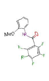 COc1ccccc1PC(=O)c1c(F)c(F)c(F)c(F)c1F